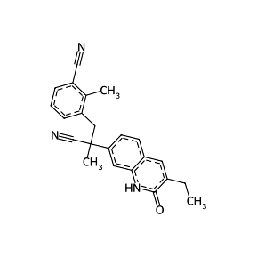 CCc1cc2ccc(C(C)(C#N)Cc3cccc(C#N)c3C)cc2[nH]c1=O